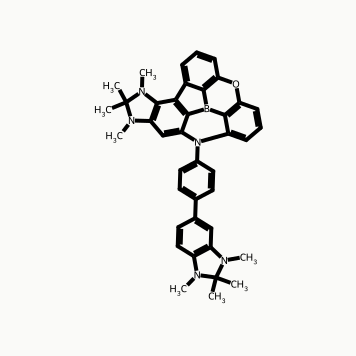 CN1c2ccc(-c3ccc(N4c5cccc6c5B5c7c(cccc7-c7c5c4cc4c7N(C)C(C)(C)N4C)O6)cc3)cc2N(C)C1(C)C